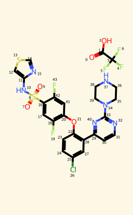 O=C(O)C(F)(F)F.O=S(=O)(Nc1cscn1)c1cc(F)c(Oc2ccc(Cl)cc2-c2ccnc(N3CCNCC3)n2)cc1F